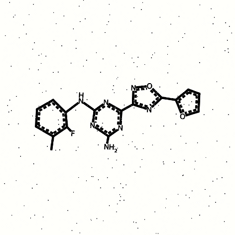 Cc1cccc(Nc2nc(N)nc(-c3noc(-c4ccco4)n3)n2)c1F